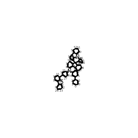 c1ccc(-c2cccc(N(c3ccc(-c4cccc5c4sc4ccccc45)cc3)c3cccc4c3-c3ccccc3C43c4ccccc4-n4c5ccccc5c5cccc3c54)c2)cc1